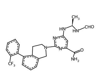 C[C@@H](NC=O)Nc1cc(C(N)=O)nc(N2CCc3c(cccc3-c3ccccc3C(F)(F)F)C2)n1